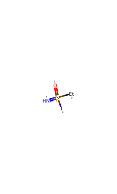 CCS(=N)(=O)I